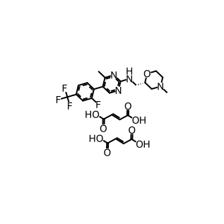 Cc1nc(NC[C@H]2CN(C)CCO2)ncc1-c1ccc(C(F)(F)F)cc1F.O=C(O)/C=C/C(=O)O.O=C(O)/C=C/C(=O)O